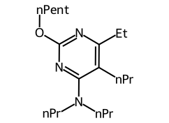 CCCCCOc1nc(CC)c(CCC)c(N(CCC)CCC)n1